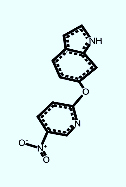 O=[N+]([O-])c1ccc(Oc2ccc3cc[nH]c3c2)nc1